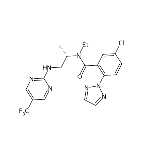 CCN(C(=O)c1cc(Cl)ccc1-n1nccn1)[C@@H](C)CNc1ncc(C(F)(F)F)cn1